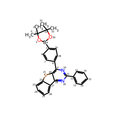 CC1(C)OB(c2ccc(-c3nc(-c4ccccc4)nc4c3sc3ccccc34)cc2)OC1(C)C